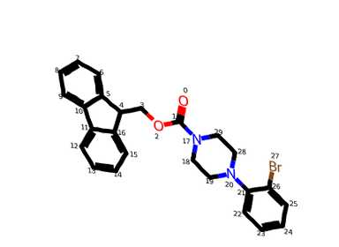 O=C(OCC1c2ccccc2-c2ccccc21)N1CCN(c2ccccc2Br)CC1